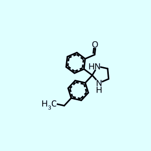 CCc1ccc(C2(c3ccccc3C=O)NCCN2)cc1